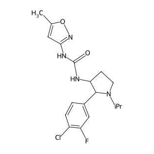 Cc1cc(NC(=O)NC2CCN(C(C)C)C2c2ccc(Cl)c(F)c2)no1